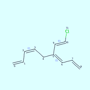 C=C/C=C\CC(=C/C=C)/C=C/Cl